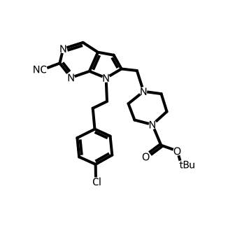 CC(C)(C)OC(=O)N1CCN(Cc2cc3cnc(C#N)nc3n2CCc2ccc(Cl)cc2)CC1